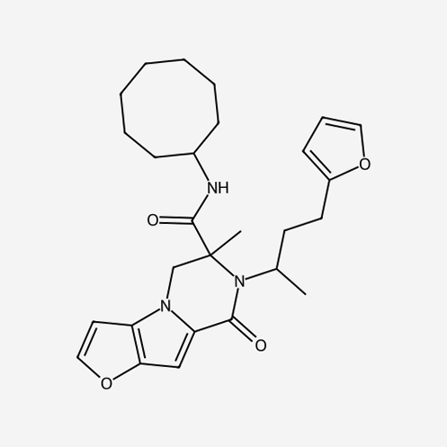 CC(CCc1ccco1)N1C(=O)c2cc3occc3n2CC1(C)C(=O)NC1CCCCCCC1